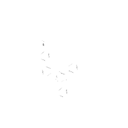 N#Cc1ccc(-c2cccc(-c3nc(-c4ccccc4)nc(-c4cccc(Cl)c4)n3)c2)cc1